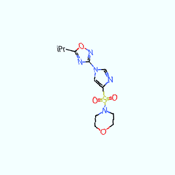 CC(C)c1nc(-n2cnc(S(=O)(=O)N3CCOCC3)c2)no1